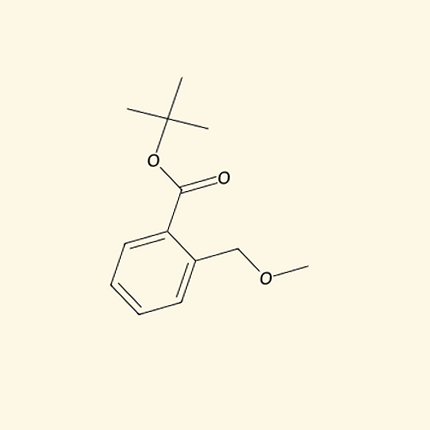 COCc1ccccc1C(=O)OC(C)(C)C